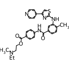 CCN(C)CCOC(=O)c1ccc(NC(=O)c2ccc(C)c(Nc3nc(-c4ccncc4)cs3)c2)cc1